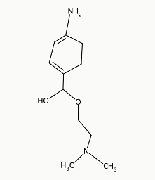 CN(C)CCOC(O)C1=CC=C(N)CC1